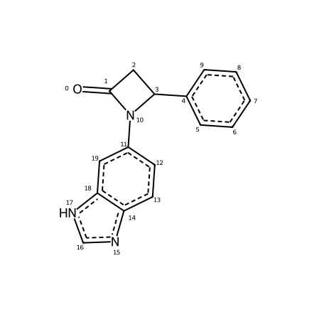 O=C1CC(c2ccccc2)N1c1ccc2nc[nH]c2c1